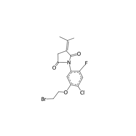 CC(C)=C1CC(=O)N(c2cc(OCCBr)c(Cl)cc2F)C1=O